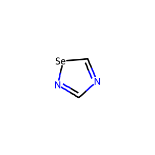 c1nc[se]n1